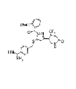 COc1ccccc1C(=O)n1nc(C2CNC(=O)CC2C(F)(F)F)cc1SCc1ccc(C(=N)N)cc1